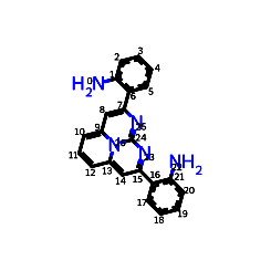 Nc1ccccc1C1=CC2=CC=CC3=CC(c4ccccc4N)=NC(=N1)N23